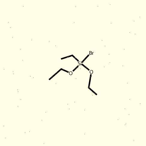 CCO[Si](Br)(CC)OCC